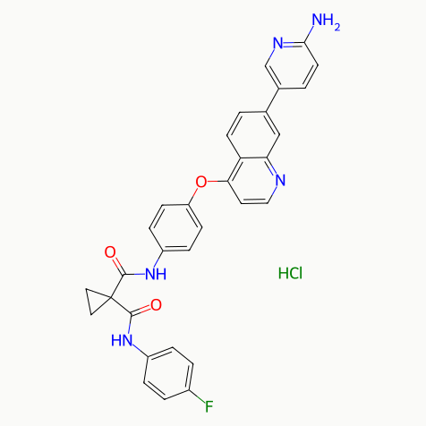 Cl.Nc1ccc(-c2ccc3c(Oc4ccc(NC(=O)C5(C(=O)Nc6ccc(F)cc6)CC5)cc4)ccnc3c2)cn1